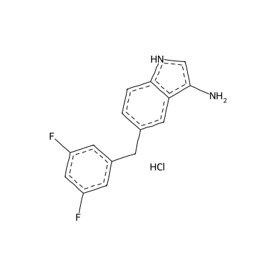 Cl.Nc1c[nH]c2ccc(Cc3cc(F)cc(F)c3)cc12